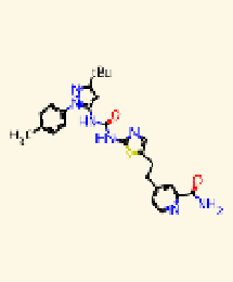 Cc1ccc(-n2nc(C(C)(C)C)cc2NC(=O)Nc2ncc(CCc3ccnc(C(N)=O)c3)s2)cc1